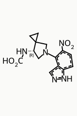 O=C(O)N[C@H]1CN(c2c([N+](=O)[O-])ccc3[nH]ncc23)CC12CC2